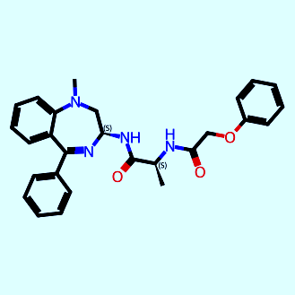 C[C@H](NC(=O)COc1ccccc1)C(=O)N[C@@H]1CN(C)c2ccccc2C(c2ccccc2)=N1